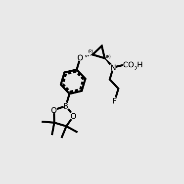 CC1(C)OB(c2ccc(O[C@@H]3C[C@H]3N(CCF)C(=O)O)cc2)OC1(C)C